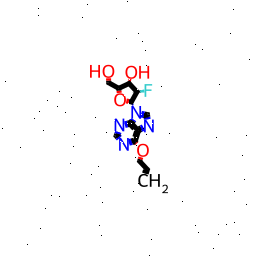 C=CCOc1ncnc2c1ncn2[C@@H]1OC(CO)[C@@H](O)[C@H]1F